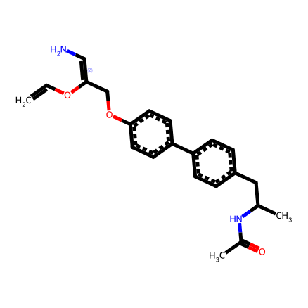 C=CO/C(=C\N)COc1ccc(-c2ccc(CC(C)NC(C)=O)cc2)cc1